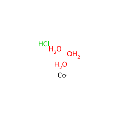 Cl.O.O.O.[Co]